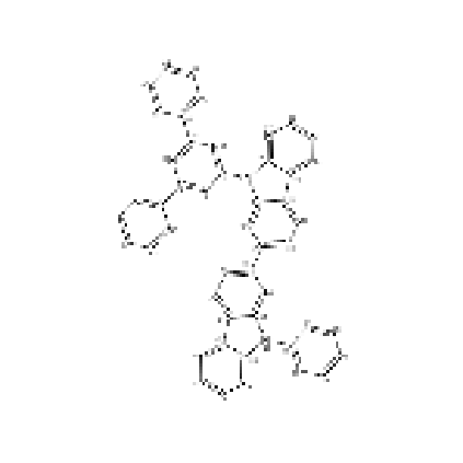 c1ccc(-c2cc(-n3c4cc(-c5ccc6c7ccccc7n(-c7ccccc7)c6c5)ccc4c4cccnc43)nc(-c3ccccc3)n2)cc1